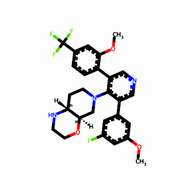 COc1cc(F)cc(-c2cncc(-c3ccc(C(F)(F)F)cc3OC)c2N2CC[C@H]3NCCO[C@@H]3C2)c1